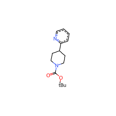 CC(C)(C)OC(=O)N1CCC(c2ccccn2)CC1